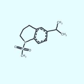 CC(C)c1ccc2c(c1)CCCN2S(C)(=O)=O